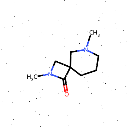 CN1CCCC2(C1)CN(C)C2=O